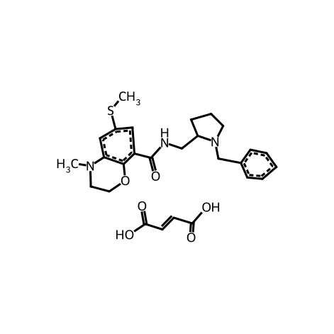 CSc1cc(C(=O)NCC2CCCN2Cc2ccccc2)c2c(c1)N(C)CCO2.O=C(O)C=CC(=O)O